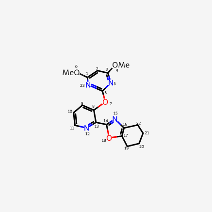 COc1cc(OC)nc(Oc2cccnc2-c2nc3c(o2)CCCC3)n1